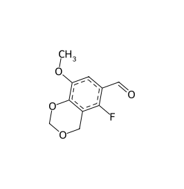 COc1cc(C=O)c(F)c2c1OCOC2